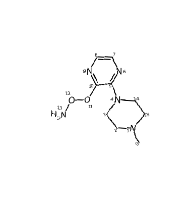 CN1CCN(c2nccnc2OON)CC1